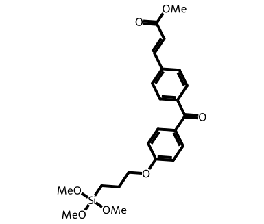 COC(=O)/C=C/c1ccc(C(=O)c2ccc(OCCC[Si](OC)(OC)OC)cc2)cc1